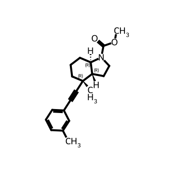 COC(=O)N1CC[C@H]2[C@H]1CCC[C@@]2(C)C#Cc1cccc(C)c1